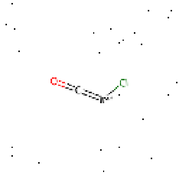 O=[C]=[Ir+2][Cl]